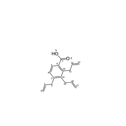 C=CCc1ccc(C(=O)O)c(CC=C)c1CC=C